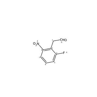 O=CCc1c(F)cccc1[N+](=O)[O-]